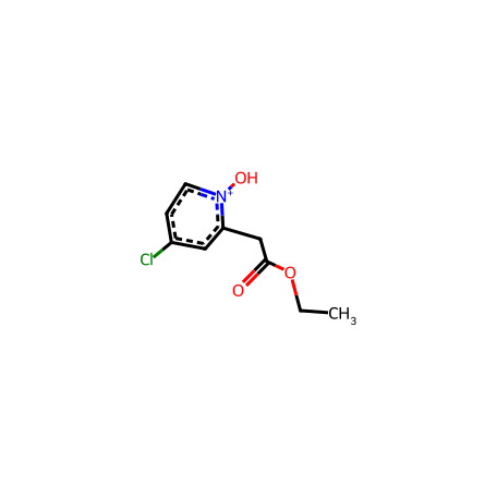 CCOC(=O)Cc1cc(Cl)cc[n+]1O